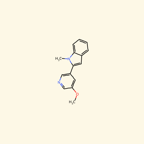 COc1cncc(-c2cc3ccccc3n2C)c1